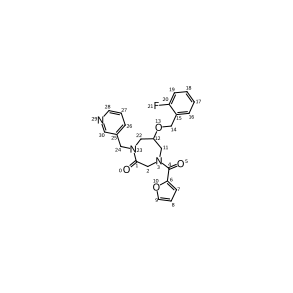 O=C1CN(C(=O)c2ccco2)CC(OCc2ccccc2F)CN1Cc1cccnc1